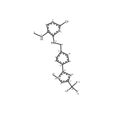 CNc1cnc(Cl)nc1NCc1ccc(-c2nc(C(F)(F)F)cn2C)cc1